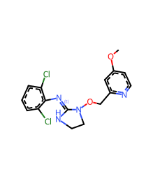 COc1ccnc(CON2CCN/C2=N\c2c(Cl)cccc2Cl)c1